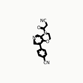 N#CCC(=O)N1CCOc2c(-c3ccc(C#N)cc3)cncc21